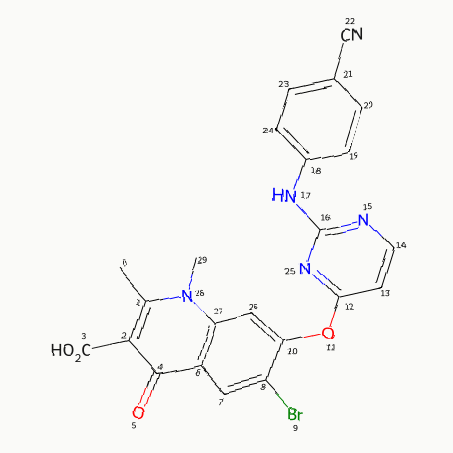 Cc1c(C(=O)O)c(=O)c2cc(Br)c(Oc3ccnc(Nc4ccc(C#N)cc4)n3)cc2n1C